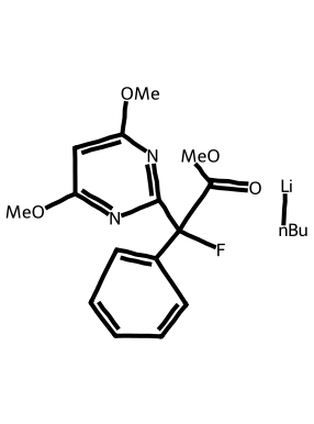 COC(=O)C(F)(c1ccccc1)c1nc(OC)cc(OC)n1.[Li][CH2]CCC